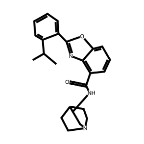 CC(C)c1ccccc1-c1nc2c(C(=O)NC3CN4CCC3CC4)cccc2o1